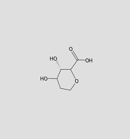 O=C(O)C1OCCC(O)[C@@H]1O